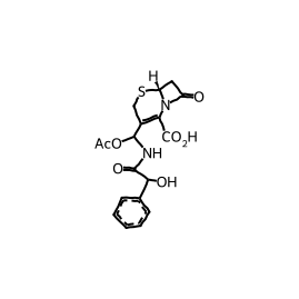 CC(=O)OC(NC(=O)C(O)c1ccccc1)C1=C(C(=O)O)N2C(=O)C[C@H]2SC1